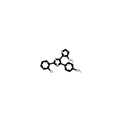 Cc1ccc(-c2nc(-c3ccccc3Cl)sc2-c2sccc2C)cc1